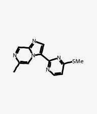 CSc1ccnc(-c2cnc3cnc(C)cn23)n1